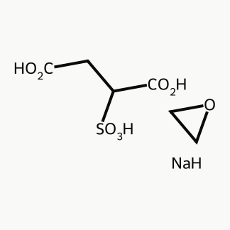 C1CO1.O=C(O)CC(C(=O)O)S(=O)(=O)O.[NaH]